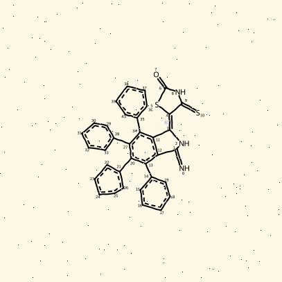 N=C1N/C(=C2/SC(=O)NC2=S)c2c1c(-c1ccccc1)c(-c1ccccc1)c(-c1ccccc1)c2-c1ccccc1